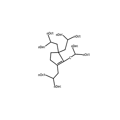 CCCCCCCCCCC(CCCCCCCC)CC1=C(CC(CCCCCCCC)CCCCCCCCCC)C(CC(CCCCCCCC)CCCCCCCCCC)(CC(CCCCCCCC)CCCCCCCCCC)CC1